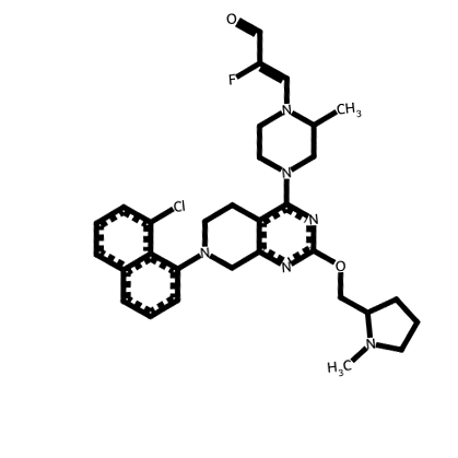 CC1CN(c2nc(OCC3CCCN3C)nc3c2CCN(c2cccc4cccc(Cl)c24)C3)CCN1C=C(F)C=O